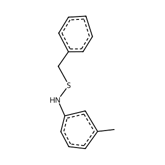 Cc1cccc(NSCc2ccccc2)c1